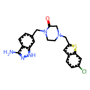 Nc1n[nH]c2cc(CN3CCN(Cc4cc5ccc(Cl)cc5s4)CC3=O)ccc12